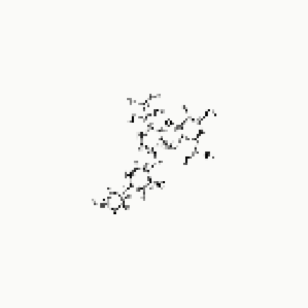 Cc1c(C#N)cc(C(F)F)cc1Oc1c(C(F)(F)C(F)F)ncn(Cc2cnc(-c3cnn(C)c3)[nH]c2=O)c1=O